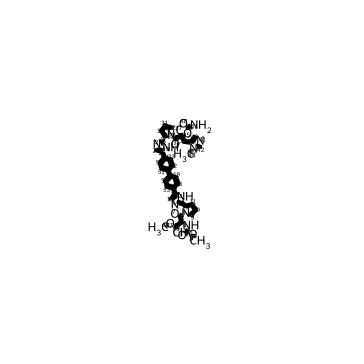 COC(=O)N[C@H](C(=O)N1CCCC1c1ncc(-c2ccc(-c3ccc(-c4cnc([C@@H]5CCCN5C(=O)[C@](C)(Cc5cncn5C)OC(N)=O)[nH]4)cc3)cc2)[nH]1)[C@@H](C)OC